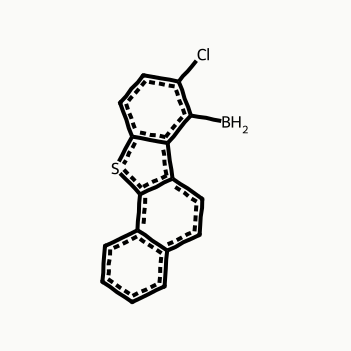 Bc1c(Cl)ccc2sc3c4ccccc4ccc3c12